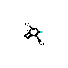 C#CC1=C(F)C=C(C(F)(F)F)[C@@H]2CC=C12